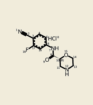 Cl.N#Cc1ccc(NC(=O)[C@H]2CNCCO2)cc1F